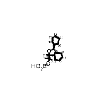 CC(C)(OC(=O)O)C(C)(OCc1ccccc1)c1ccccc1